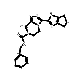 C[C@@H]1c2nnc(-c3nc4c(s3)CCC4)n2CCN1C(=O)OCc1ccccc1